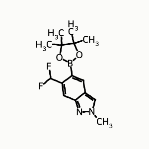 Cn1cc2cc(B3OC(C)(C)C(C)(C)O3)c(C(F)F)cc2n1